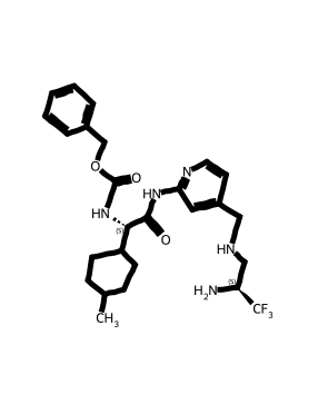 CC1CCC([C@H](NC(=O)OCc2ccccc2)C(=O)Nc2cc(CNC[C@H](N)C(F)(F)F)ccn2)CC1